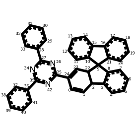 C1=CC2c3ccccc3C3(c4ccccc4-c4ccccc43)C2C=C1c1nc(-c2ccccc2)nc(-c2ccccc2)n1